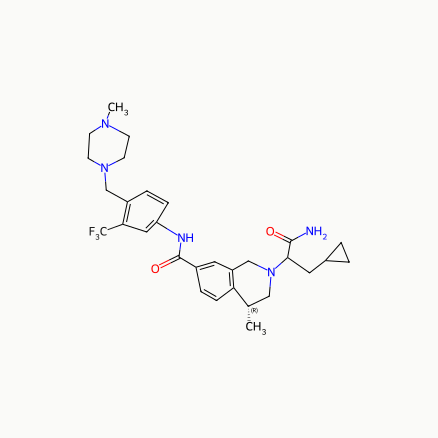 C[C@H]1CN(C(CC2CC2)C(N)=O)Cc2cc(C(=O)Nc3ccc(CN4CCN(C)CC4)c(C(F)(F)F)c3)ccc21